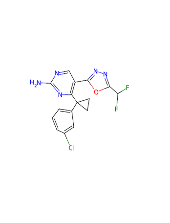 Nc1ncc(-c2nnc(C(F)F)o2)c(C2(c3cccc(Cl)c3)CC2)n1